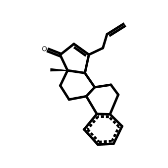 C=CCC1=CC(=O)[C@@]2(C)CCC3c4ccccc4CCC3C12